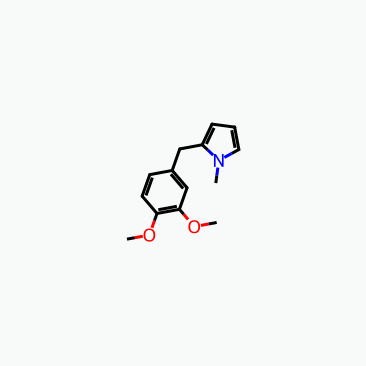 COc1ccc(Cc2cccn2C)cc1OC